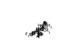 Cc1ccc(Nc2ncc(OCc3ccc(OC(F)(F)F)cc3)c(-c3cn(C4CC4)c4ccccc34)n2)cc1NC(=O)/C=C/C1CCCN1C